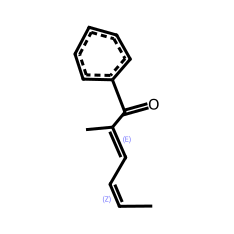 C/C=C\C=C(/C)C(=O)c1ccccc1